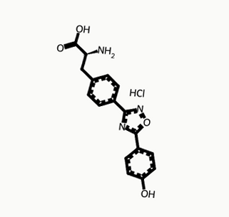 Cl.N[C@@H](Cc1ccc(-c2noc(-c3ccc(O)cc3)n2)cc1)C(=O)O